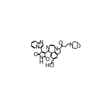 Cl.O=C1NC(=O)C(c2cnc3ccccn23)=C1C1=NC=CN2c3c(cc(F)cc31)CC2C(=O)CCN1CCOCC1